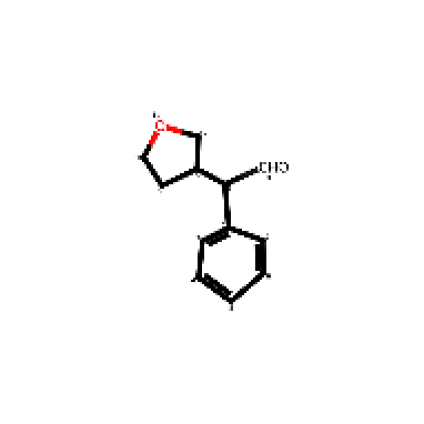 O=CC(c1ccccc1)C1CCOC1